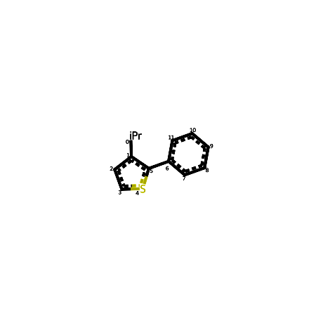 CC(C)c1ccsc1-c1ccccc1